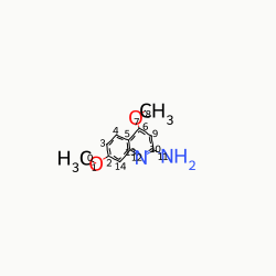 COc1ccc2c(OC)cc(N)nc2c1